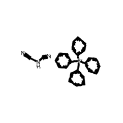 N#CNC#N.c1ccc([B-](c2ccccc2)(c2ccccc2)c2ccccc2)cc1